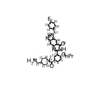 CCCOc1ccc(C(=O)[N+]2(C)CCC(CN)CC2)cc1-c1nc2cc3ncn(Cc4ccc(F)cc4)c3cc2c(=O)[nH]1